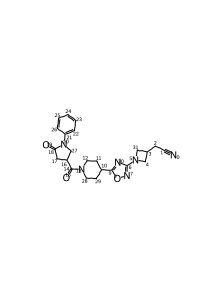 N#CCC1CN(c2noc(C3CCN(C(=O)C4CC(=O)N(c5ccccc5)C4)CC3)n2)C1